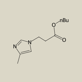 CCCCOC(=O)CCn1cnc(C)c1